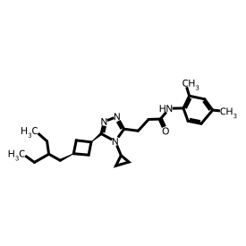 CCC(CC)C[C@H]1C[C@@H](c2nnc(CCC(=O)Nc3ccc(C)cc3C)n2C2CC2)C1